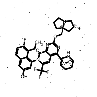 CCc1c(F)ccc2cc(O)cc(-n3c(C(F)(F)F)cc4c(N5CC6CCC5CN6)nc(OC[C@@]56CCCN5C[C@H](F)C6)nc4c3=O)c12